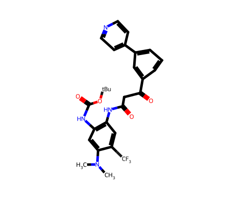 CN(C)c1cc(NC(=O)OC(C)(C)C)c(NC(=O)CC(=O)c2cccc(-c3ccncc3)c2)cc1C(F)(F)F